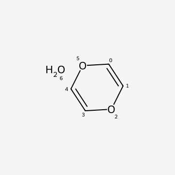 C1=COC=CO1.O